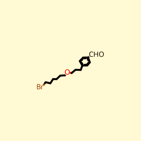 O=Cc1ccc(CCCOCCCCCCBr)cc1